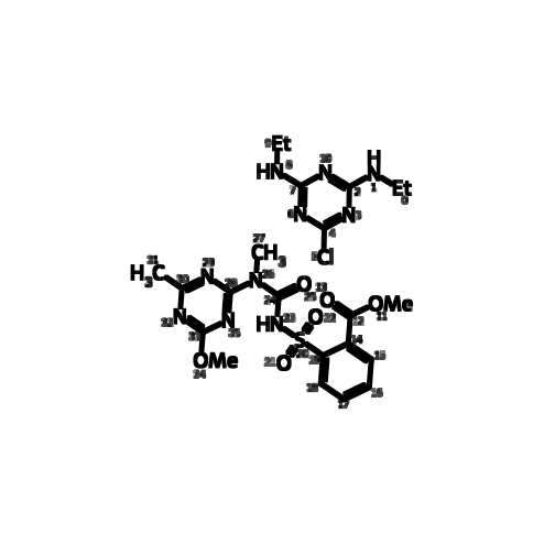 CCNc1nc(Cl)nc(NCC)n1.COC(=O)c1ccccc1S(=O)(=O)NC(=O)N(C)c1nc(C)nc(OC)n1